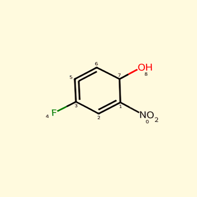 O=[N+]([O-])C1=CC(F)=C=CC1O